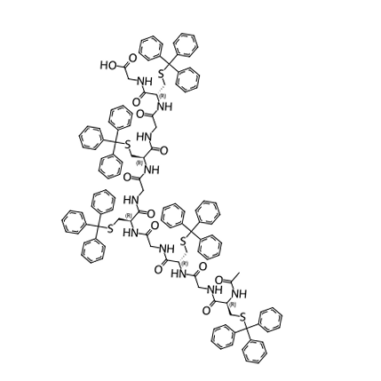 CC(=O)N[C@@H](CSC(c1ccccc1)(c1ccccc1)c1ccccc1)C(=O)NCC(=O)N[C@@H](CSC(c1ccccc1)(c1ccccc1)c1ccccc1)C(=O)NCC(=O)N[C@@H](CSC(c1ccccc1)(c1ccccc1)c1ccccc1)C(=O)NCC(=O)N[C@@H](CSC(c1ccccc1)(c1ccccc1)c1ccccc1)C(=O)NCC(=O)N[C@@H](CSC(c1ccccc1)(c1ccccc1)c1ccccc1)C(=O)NCC(=O)O